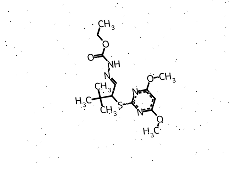 CCOC(=O)NN=CC(Sc1nc(OC)cc(OC)n1)C(C)(C)C